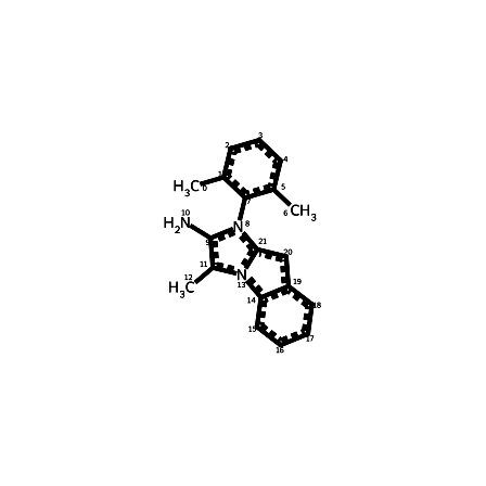 Cc1cccc(C)c1-n1c(N)c(C)n2c3ccccc3cc12